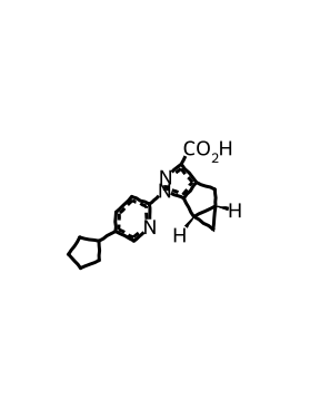 O=C(O)c1nn(-c2ccc(C3CCCC3)cn2)c2c1C[C@@H]1C[C@H]21